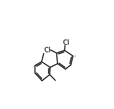 Cc1cccc(C)c1-c1cc[c]c(Cl)c1Cl